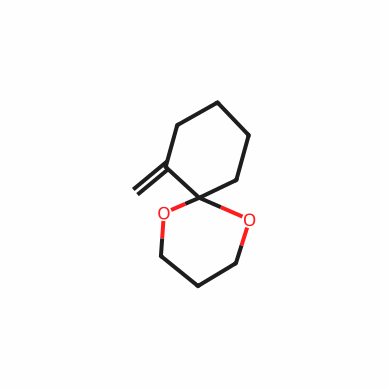 C=C1CCCCC12OCCCO2